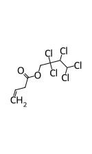 C=CCC(=O)OCC(Cl)(Cl)C(Cl)C(Cl)Cl